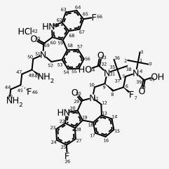 CC(C)(C)N(C[C@@H](F)C[C@@H](CN1Cc2ccccc2-c2c([nH]c3ccc(F)cc23)C1=O)N(C(=O)O)C(C)(C)C)C(=O)O.Cl.NC[C@@H](F)C[C@H](N)CN1Cc2ccccc2-c2c([nH]c3ccc(F)cc23)C1=O